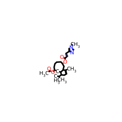 CC(=O)OC1CCCCC(OC(=O)/C=C/c2cn(C)cn2)CC2C(C)=CCC(C(C)C)C2C1